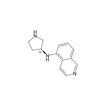 c1cc(N[C@H]2CCNC2)c2ccncc2c1